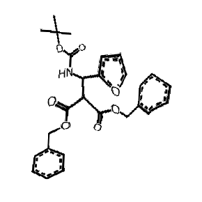 CC(C)(C)OC(=O)NC(c1ccco1)C(C(=O)OCc1ccccc1)C(=O)OCc1ccccc1